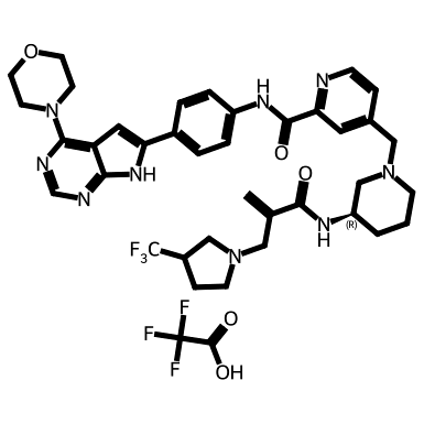 C=C(CN1CCC(C(F)(F)F)C1)C(=O)N[C@@H]1CCCN(Cc2ccnc(C(=O)Nc3ccc(-c4cc5c(N6CCOCC6)ncnc5[nH]4)cc3)c2)C1.O=C(O)C(F)(F)F